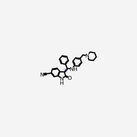 N#Cc1ccc2c(c1)NC(=O)/C2=C(\Nc1ccc(CN2CCCCC2)cc1)c1ccccc1